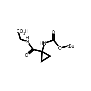 CC(C)(C)OC(=O)NC1(C(=O)NCC(=O)O)CC1